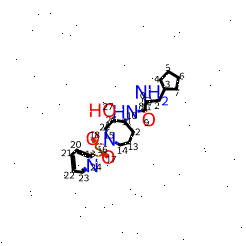 N[C@@H](CC1CCCC1)C(=O)NC1CCCN(S(=O)(=O)c2ccccn2)CC1O